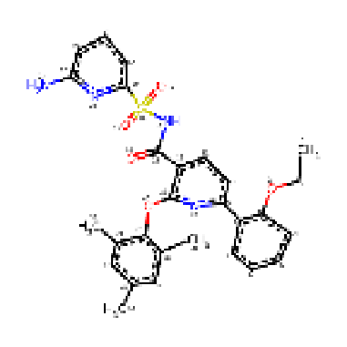 CCOc1ccccc1-c1ccc(C(=O)NS(=O)(=O)c2cccc(N)n2)c(Oc2c(C)cc(C)cc2C)n1